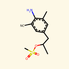 Cc1cc(CC(C)OS(C)(=O)=O)cc(C#N)c1N